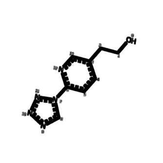 OCCc1ccc(-n2cnnn2)nc1